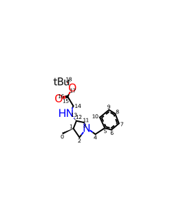 C[C@@H]1CN(Cc2ccccc2)C[C@H]1NCC(=O)OC(C)(C)C